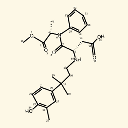 COC(=O)[C@H](C)N(C(=O)[C@H](CC(=O)O)NCCC(C)(C)c1ccc(O)c(C)c1)c1ccccc1